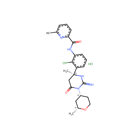 C[C@@H]1C[C@H](N2C(=N)N[C@](C)(c3cccc(NC(=O)c4cccc(C#N)n4)c3Cl)CC2=O)CCO1.Cl